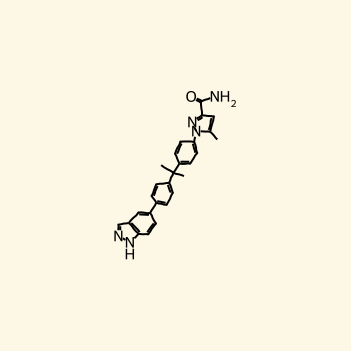 Cc1cc(C(N)=O)nn1-c1ccc(C(C)(C)c2ccc(-c3ccc4[nH]ncc4c3)cc2)cc1